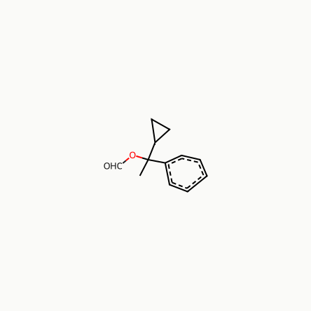 CC(OC=O)([C]1CC1)c1ccccc1